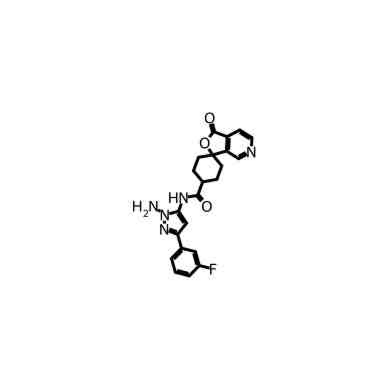 Nn1nc(-c2cccc(F)c2)cc1NC(=O)C1CCC2(CC1)OC(=O)c1ccncc12